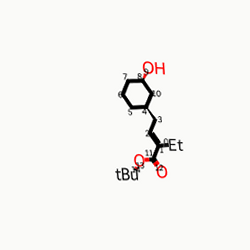 CC/C(=C\C[C@H]1CCC[C@@H](O)C1)C(=O)OC(C)(C)C